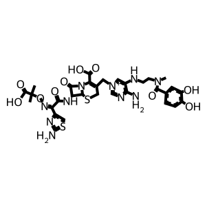 CN(CCNc1c[n+](CC2=C(C(=O)O)N3C(=O)[C@@H](NC(=O)/C(=N\OC(C)(C)C(=O)O)c4csc(N)n4)C3SC2)cnc1N)C(=O)c1ccc(O)c(O)c1